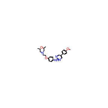 COc1ccc(-c2cnc(Nc3ccc(OCCN4CC(C)OC(C)C4)cc3)nc2)cc1